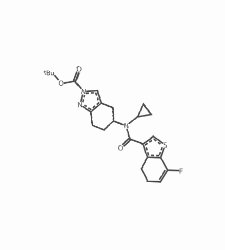 CC(C)(C)OC(=O)n1cc2c(n1)CCC(N(C(=O)c1csc3c1CCC=C3F)C1CC1)C2